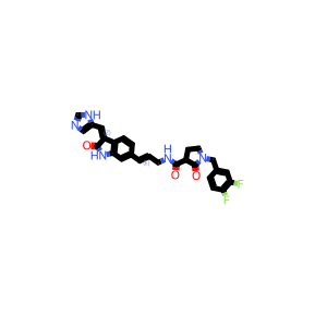 O=C1Nc2cc(/C=C/CNC(=O)C3CCN(Cc4ccc(F)c(F)c4)C3=O)ccc2/C1=C/c1cnc[nH]1